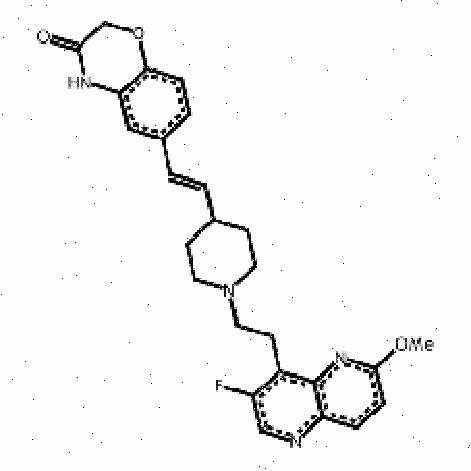 COc1ccc2ncc(F)c(CCN3CCC(/C=C/c4ccc5c(c4)NC(=O)CO5)CC3)c2n1